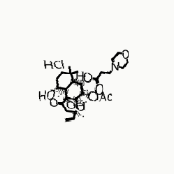 C=C[C@@]1(C)CC(=O)[C@]2(O)[C@@]3(C)[C@@H](O)CCC(C)(C)[C@@H]3[C@H](OC(=O)CCN3CCOCC3)[C@H](OC(C)=O)[C@@]2(C)O1.Cl